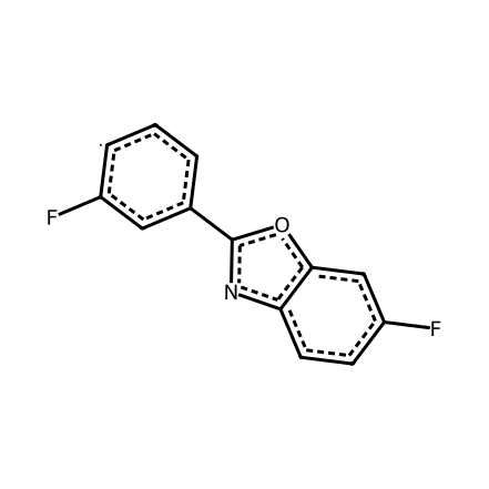 Fc1[c]ccc(-c2nc3ccc(F)cc3o2)c1